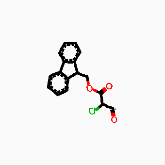 O=[C]C(Cl)C(=O)OCC1c2ccccc2-c2ccccc21